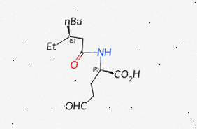 CCCC[C@H](CC)CC(=O)N[C@H](CC[C]=O)C(=O)O